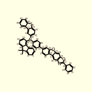 CC1(C)c2ccccc2-c2c(N(c3ccc(-c4ccc5c(c4)oc4cc6oc(-c7ccccc7)nc6cc45)cc3)c3ccc4sc5ccccc5c4c3)cccc21